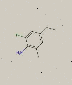 CCc1cc(C)c(N)c(F)c1